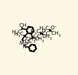 CC(C)(C)[O-].CC(C)(C)[O-].CC(C)c1cccc(C(C)C)c1C(C)(C)[CH]=[Mo+2]=[N]c1ccccc1